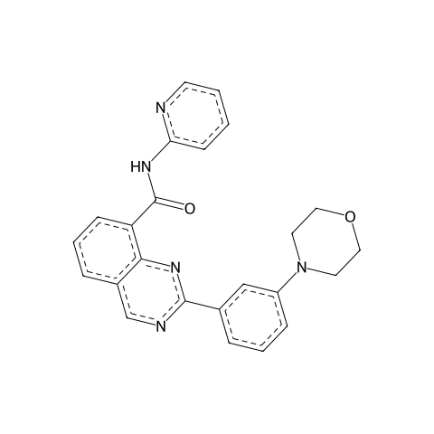 O=C(Nc1ccccn1)c1cccc2cnc(-c3cccc(N4CCOCC4)c3)nc12